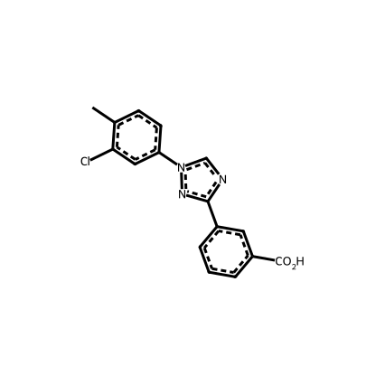 Cc1ccc(-n2cnc(-c3cccc(C(=O)O)c3)n2)cc1Cl